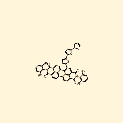 CC(C)c1cccc(C(C)C)c1N1C(=O)c2ccc3c4ccc5c6c(cc(-c7ccc(-c8ccc(-c9cccs9)s8)s7)c(c7ccc(c2c37)C1=O)c64)C(=O)N(c1c(C(C)C)cccc1C(C)C)C5=O